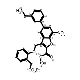 CCOC(=O)Cc1ccccc1OCc1c(C(=O)OC(C)(C)C)oc2c([N+](=O)[O-])cc(-c3cccc(CN)c3)cc12